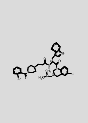 CC(=O)c1ccccc1C(=O)N1CCC(CCC(=O)N[C@H](Cc2c[nH]c3ccccc23)C(=O)N2C[C@H](CN(C)C)Cc3cc(Cl)ccc32)CC1